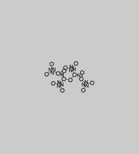 c1ccc(-c2nc(-c3ccccc3)nc(-c3cc(-c4cccc(-c5cc(-c6nc(-c7ccccc7)nc(-c7ccccc7)n6)cc(-n6c7ccccc7c7cc(-c8nc(-c9ccccc9)nc(-c9ccccc9)n8)ccc76)c5)c4)cc(-n4c5ccccc5c5cc(-c6nc(-c7ccccc7)nc(-c7ccccc7)n6)ccc54)c3)n2)cc1